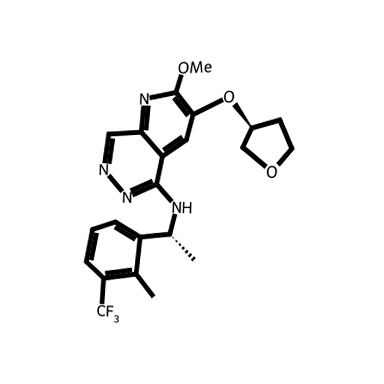 COc1nc2cnnc(N[C@H](C)c3cccc(C(F)(F)F)c3C)c2cc1O[C@H]1CCOC1